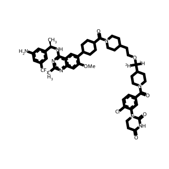 [2H]C([2H])(OCCC1CCN(C(=O)C2CCC(c3cc4c(N[C@H](C)c5cc(N)cc(C(F)(F)F)c5)nc(C)nc4cc3OC)CC2)CC1)C1CCN(C(=O)c2ccc(Cl)c(N3CCC(=O)NC3=O)c2)CC1